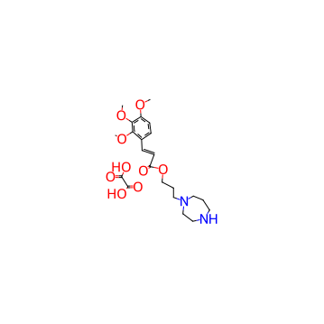 COc1ccc(C=CC(=O)OCCCN2CCCNCC2)c(OC)c1OC.O=C(O)C(=O)O